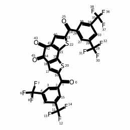 O=C(c1cc(C(F)(F)F)cc(C(F)(F)F)c1)c1cc2c(s1)-c1sc(C(=O)c3cc(C(F)(F)F)cc(C(F)(F)F)c3)cc1C(=O)C2=O